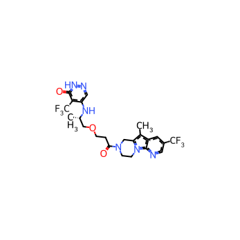 Cc1c2n(c3ncc(C(F)(F)F)cc13)CCN(C(=O)CCOC[C@H](C)Nc1cn[nH]c(=O)c1C(F)(F)F)C2